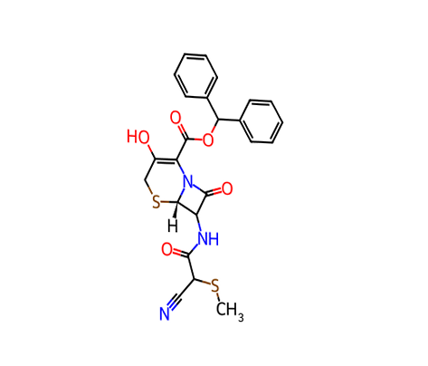 CSC(C#N)C(=O)NC1C(=O)N2C(C(=O)OC(c3ccccc3)c3ccccc3)=C(O)CS[C@@H]12